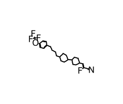 N#CC(F)=CC1CCC(C2CCC(CCCCc3ccc(OC(F)(F)F)cc3)CC2)CC1